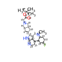 CN1Cc2c(C3=CC4CN(CC(=O)OC(C)(C)C)CC4C3)[nH]c3nccc(c23)-c2cc(F)ccc21